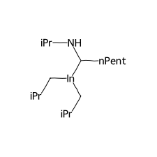 CCCCC[CH](NC(C)C)[In]([CH2]C(C)C)[CH2]C(C)C